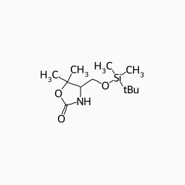 CC1(C)OC(=O)NC1CO[Si](C)(C)C(C)(C)C